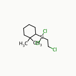 CC1(C)CCCCC1[Si](Cl)(Cl)CCCl